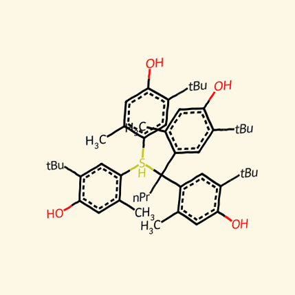 CCCC(c1cc(C(C)(C)C)c(O)cc1C)(c1cc(C(C)(C)C)c(O)cc1C)[SH](c1cc(C(C)(C)C)c(O)cc1C)c1cc(C(C)(C)C)c(O)cc1C